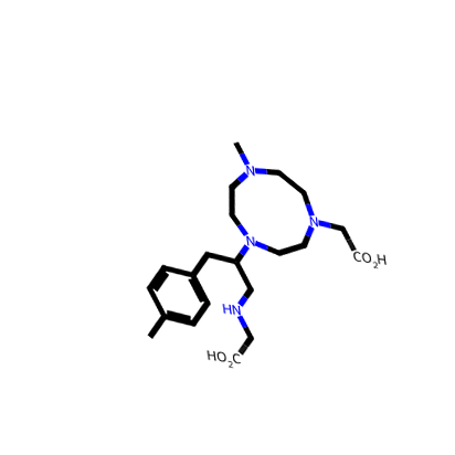 Cc1ccc(CC(CNCC(=O)O)N2CCN(C)CCN(CC(=O)O)CC2)cc1